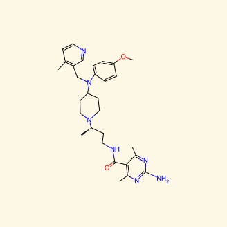 COc1ccc(N(Cc2cnccc2C)C2CCN([C@H](C)CCNC(=O)c3c(C)nc(N)nc3C)CC2)cc1